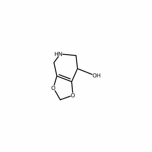 OC1CNCC2=C1OCO2